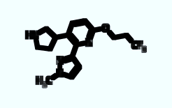 Cn1ccc(-c2nc(OCCC(F)(F)F)ccc2C2CCNC2)n1